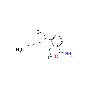 CCCCCC(CC)c1cccc(C(N)=O)c1CC